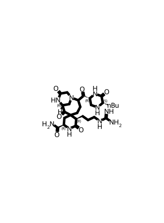 CCCC[C@@H]1NC[C@H](C(=O)C2CCC3(C[C@H](C(N)=O)NC(=O)[C@@H]3CCCNC(=N)N)C(=O)[C@H]3CN2CC(=O)N3)NC1=O